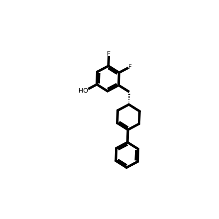 Oc1cc(F)c(F)c(C[C@H]2CC=C(c3ccccc3)CC2)c1